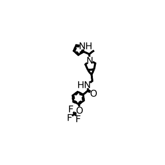 CC(c1ccc[nH]1)N1CC2C(CNC(=O)c3cccc(OC(F)(F)F)c3)C2C1